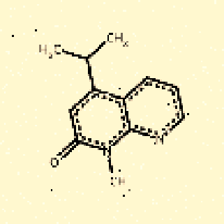 CC(C)c1cc(=O)n(C)c2ncccc12